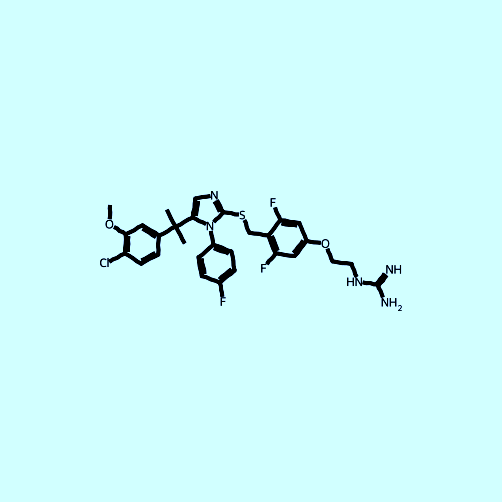 COc1cc(C(C)(C)c2cnc(SCc3c(F)cc(OCCNC(=N)N)cc3F)n2-c2ccc(F)cc2)ccc1Cl